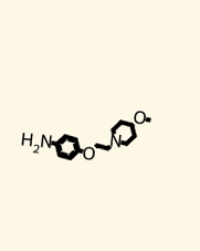 COC1CCN(CCOc2ccc(N)cc2)CC1